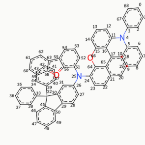 c1ccc(N(c2ccccc2)c2cccc3c2-c2cccc4ccc(N(c5ccc6c(c5)C(c5ccccc5)(c5ccccc5)c5ccccc5-6)c5cccc6c5oc5ccccc56)c(c24)O3)cc1